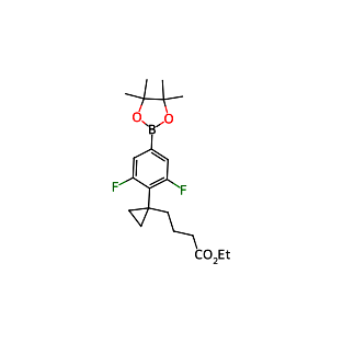 CCOC(=O)CCCC1(c2c(F)cc(B3OC(C)(C)C(C)(C)O3)cc2F)CC1